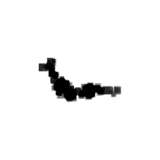 CCN(CC)CCCOc1cc(C)c(-c2cccc(OCc3ccc(CCC(=O)O)cc3)n2)c(C)c1